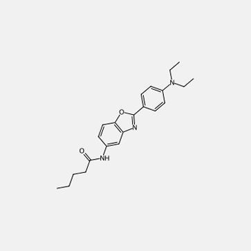 CCCCC(=O)Nc1ccc2oc(-c3ccc(N(CC)CC)cc3)nc2c1